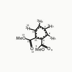 [2H]c1c([2H])c([2H])c(C(=O)OC)c(C(=O)OC)c1[2H]